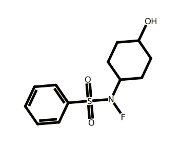 O=S(=O)(c1ccccc1)N(F)C1CCC(O)CC1